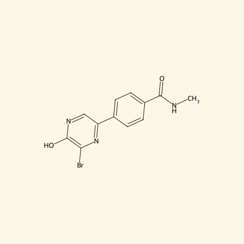 CNC(=O)c1ccc(-c2cnc(O)c(Br)n2)cc1